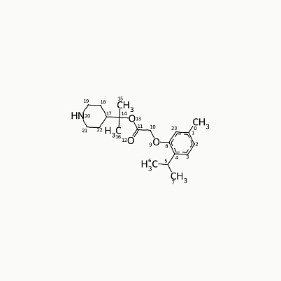 Cc1ccc(C(C)C)c(OCC(=O)OC(C)(C)C2CCNCC2)c1